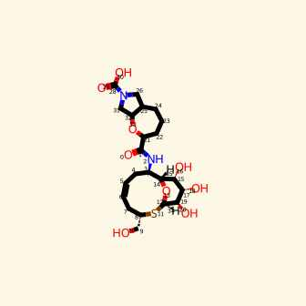 O=C(N[C@@H]1CC=CC[C@@H](CO)S[C@H]2O[C@H]1[C@H](O)[C@H](O)[C@H]2O)C1CCCC2CN(C(=O)O)CC2O1